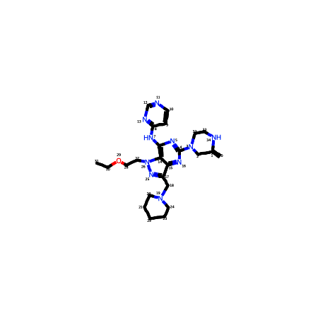 C=C1CN(c2nc(Nc3ccncn3)c3c(n2)c(CN2CCCCC2)nn3CCOCC)CCN1